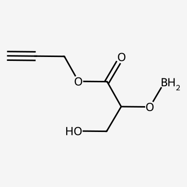 BOC(CO)C(=O)OCC#C